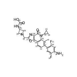 Cc1c(-c2cc(F)c(N)cc2F)ccc2c3oc(CN4CC(NC(=O)O)C4)nc3c(=O)n(C3CC3)c12